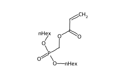 C=CC(=O)OCP(=O)(OCCCCCC)OCCCCCC